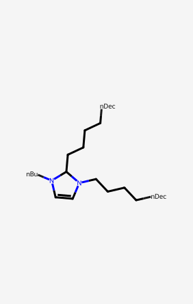 CCCCCCCCCCCCCCC1N(CCCC)C=CN1CCCCCCCCCCCCCC